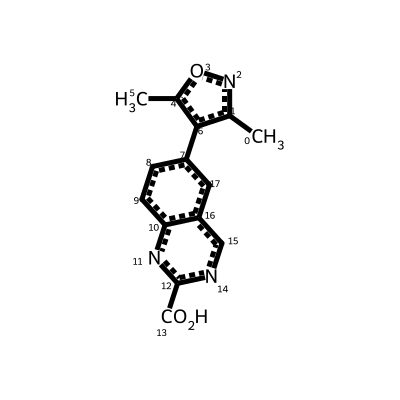 Cc1noc(C)c1-c1ccc2nc(C(=O)O)ncc2c1